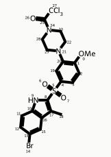 COc1ccc(S(=O)(=O)c2[nH]c3ccc(Br)cc3c2C)cc1N1CCN(C(=O)C(Cl)(Cl)Cl)CC1